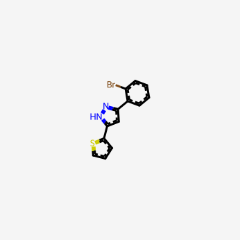 Brc1ccccc1-c1cc(-c2cccs2)[nH]n1